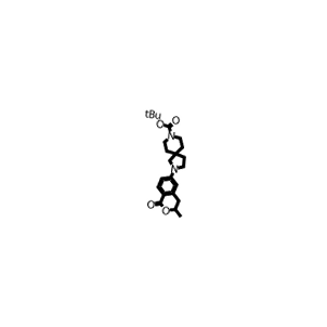 CC1Cc2cc(N3CCC4(CCN(C(=O)OC(C)(C)C)CC4)C3)ccc2C(=O)O1